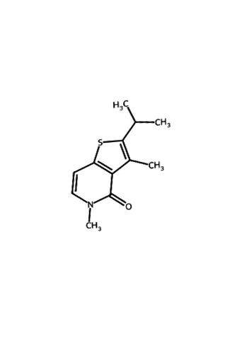 Cc1c(C(C)C)sc2ccn(C)c(=O)c12